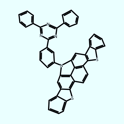 c1ccc(-c2nc(-c3ccccc3)nc(-c3cccc(-n4c5cc6c7ccccc7sc6c6ccc7c8sc9ccccc9c8cc4c7c65)c3)n2)cc1